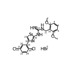 Br.COc1cccc(OC)c1CNC(=N)Nc1nc(-c2cc(Cl)ccc2Cl)cs1